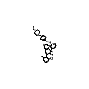 CCN1CCN(c2ccc(Nc3ncc4c(n3)C(C)(c3ccccc3)C(=O)C(c3c(C)cccc3Cl)=C4)cc2)CC1